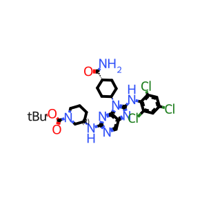 CC(C)(C)OC(=O)N1CCC[C@@H](Nc2ncc3nc(Nc4c(Cl)cc(Cl)cc4Cl)n([C@H]4CC[C@@H](C(N)=O)CC4)c3n2)C1